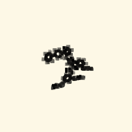 COc1ccc(CNc2nc3c(OC)cccc3c3nc(Cc4cccnc4N4CCC(c5ccccc5)CC4)cn23)c(OC)c1